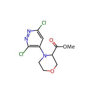 COC(=O)C1COCCN1c1cc(Cl)nnc1Cl